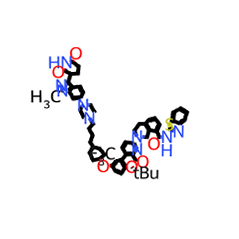 Cn1nc(C2CCC(=O)NC2=O)c2ccc(N3CCN(CCCCC4CCC(Oc5cccc(-c6ccc(N7CCc8cccc(C(=O)Nc9nc%10ccccc%10s9)c8C7)nc6C(=O)OC(C)(C)C)c5C(F)(F)F)CC4)CC3)cc21